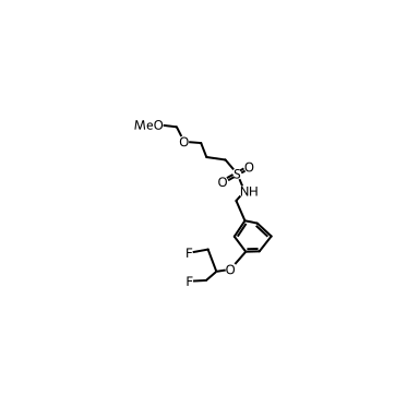 COCOCCCS(=O)(=O)NCc1cccc(OC(CF)CF)c1